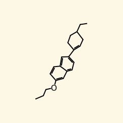 CCCOc1ccc2cc(C3=CCC(CC)CC3)ccc2c1